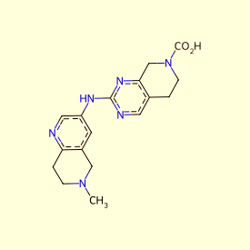 CN1CCc2ncc(Nc3ncc4c(n3)CN(C(=O)O)CC4)cc2C1